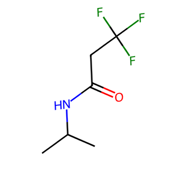 CC(C)NC(=O)CC(F)(F)F